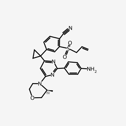 C=CCS(=O)(=O)c1cc(C2(c3cc(N4CCOC[C@@H]4C)nc(-c4ccc(N)cc4)n3)CC2)ccc1C#N